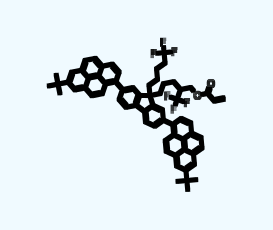 C=CC(=O)OCC(CCCC1(CCCCC(F)(F)F)c2cc(-c3ccc4ccc5cc(C(C)(C)C)cc6ccc3c4c56)ccc2-c2ccc(-c3ccc4ccc5cc(C(C)(C)C)cc6ccc3c4c56)cc21)C(F)(F)F